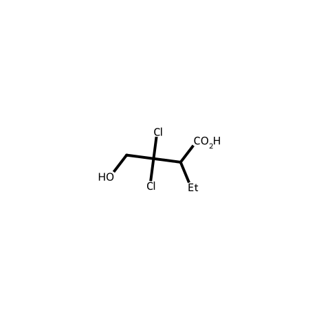 CCC(C(=O)O)C(Cl)(Cl)CO